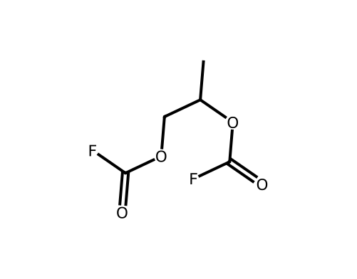 CC(COC(=O)F)OC(=O)F